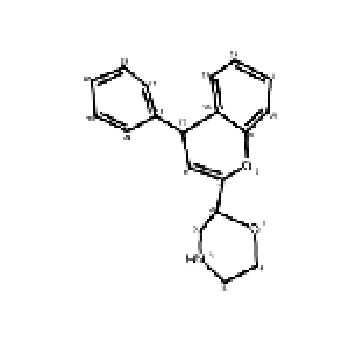 C1=C(C2CNCCO2)Oc2ccccc2C1c1ccccc1